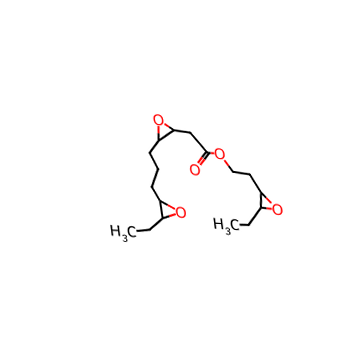 CCC1OC1CCCC1OC1CC(=O)OCCC1OC1CC